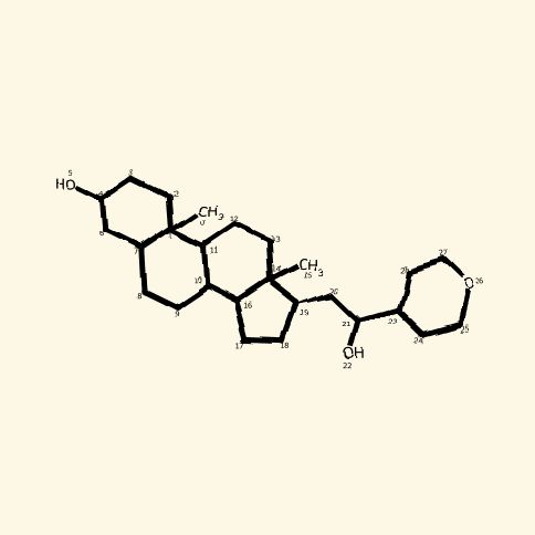 CC12CCC(O)CC1CCC1C2CCC2(C)C1CC[C@@H]2CC(O)C1CCOCC1